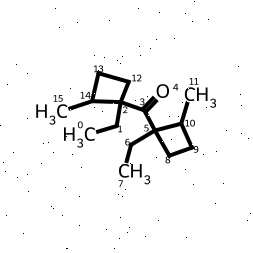 CCC1(C(=O)C2(CC)CCC2C)CCC1C